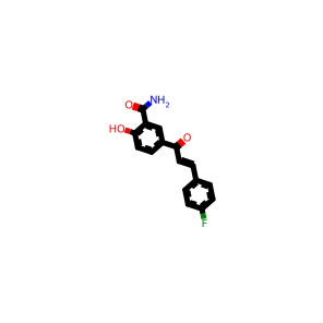 NC(=O)c1cc(C(=O)C=Cc2ccc(F)cc2)ccc1O